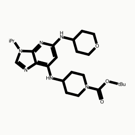 CC(C)n1cnc2c(NC3CCN(C(=O)OC(C)(C)C)CC3)cc(NC3CCOCC3)nc21